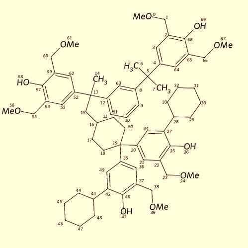 COCc1cc(C(C)(C)c2cccc(C(C)(CC3CCC(c4cc(COC)c(O)c(C5CCCCC5)c4)(c4cc(COC)c(O)c(C5CCCCC5)c4)CC3)c3cc(COC)c(O)c(COC)c3)c2)cc(COC)c1O